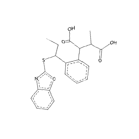 CCC(Sc1nc2ccccc2o1)c1ccccc1C(C(=O)O)C(C)C(=O)O